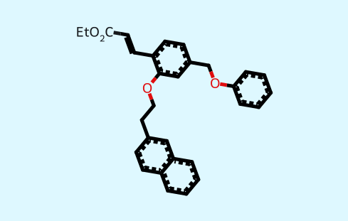 CCOC(=O)C=Cc1ccc(COc2ccccc2)cc1OCCc1ccc2ccccc2c1